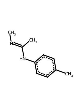 C/N=C(\C)Nc1ccc(C)cc1